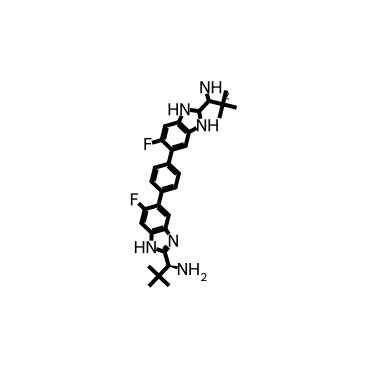 CC(C)(C)C(N)C1Nc2cc(F)c(-c3ccc(-c4cc5nc([C@@H](N)C(C)(C)C)[nH]c5cc4F)cc3)cc2N1